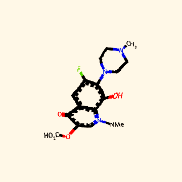 CNn1cc(OC(=O)O)c(=O)c2cc(F)c(N3CCN(C)CC3)c(O)c21